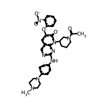 CC(=O)N1CCCC(n2c(=O)c(Oc3ccccc3[N+](=O)[O-])cc3cnc(Nc4ccc(N5CCN(C)CC5)cc4)nc32)C1